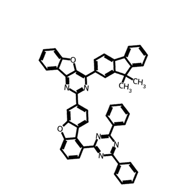 CC1(C)c2ccccc2-c2ccc(-c3nc(-c4ccc5c(c4)oc4cccc(-c6nc(-c7ccccc7)nc(-c7ccccc7)n6)c45)nc4c3oc3ccccc34)cc21